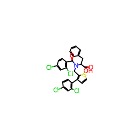 O=C(O)C(Cc1ccccc1)N(Cc1sccc1-c1ccc(Cl)cc1Cl)C(=O)c1ccc(Cl)cc1Cl